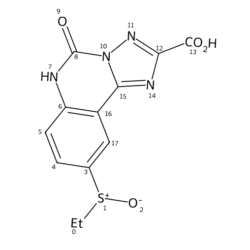 CC[S+]([O-])c1ccc2[nH]c(=O)n3nc(C(=O)O)nc3c2c1